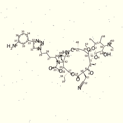 CCO[C@@H](O[C@@H]1[C@@H](C)C(=O)[C@@H](CC#N)C(=O)O[C@H](CC)[C@@]2(C)OC(=O)N(CCCCn3cc(-c4cccc(N)c4)nn3)[C@@H]2[C@@H](C)NC[C@H](C)C[C@@]1(C)OC)C(O)C(CC)N(C)C